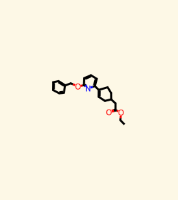 CCOC(=O)CC1CC=C(c2cccc(OCc3ccccc3)n2)CC1